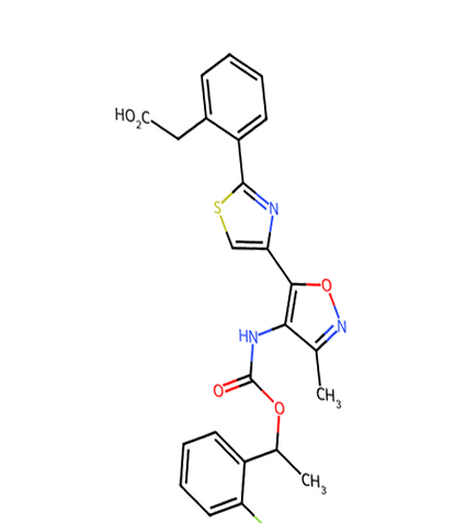 Cc1noc(-c2csc(-c3ccccc3CC(=O)O)n2)c1NC(=O)OC(C)c1ccccc1F